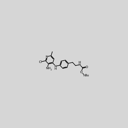 CCCCOC(=O)NCCc1ccc(Nc2cc(C)nc(Cl)c2N)cc1